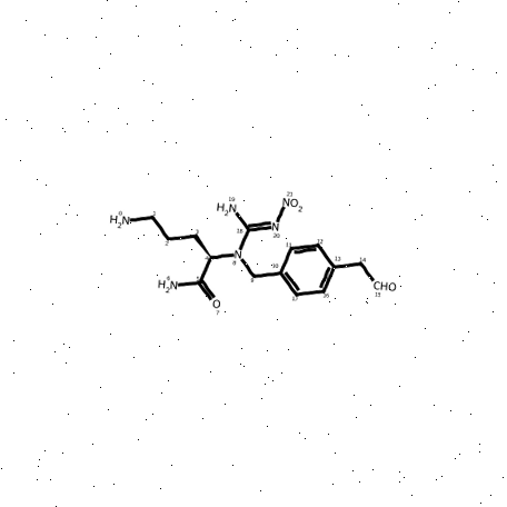 NCCC[C@H](C(N)=O)N(Cc1ccc(CC=O)cc1)C(N)=N[N+](=O)[O-]